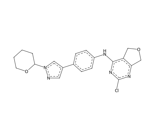 Clc1nc2c(c(Nc3ccc(-c4cnn(C5CCCCO5)c4)cc3)n1)COC2